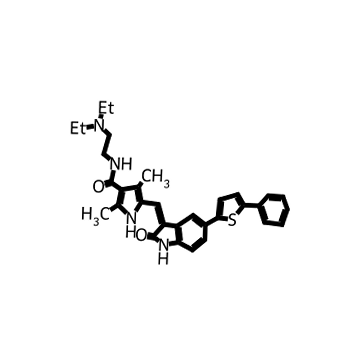 CCN(CC)CCNC(=O)c1c(C)[nH]c(C=C2C(=O)Nc3ccc(-c4ccc(-c5ccccc5)s4)cc32)c1C